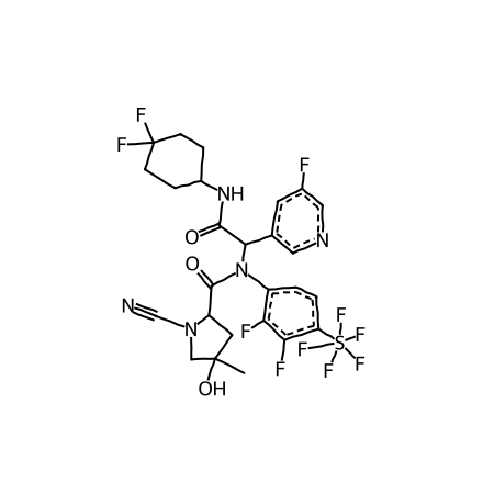 CC1(O)CC(C(=O)N(c2ccc(S(F)(F)(F)(F)F)c(F)c2F)C(C(=O)NC2CCC(F)(F)CC2)c2cncc(F)c2)N(C#N)C1